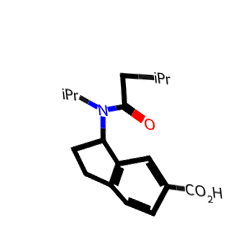 CC(C)CC(=O)N(C(C)C)C1CCc2ccc(C(=O)O)cc21